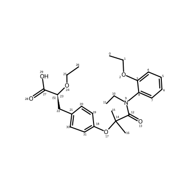 CCOc1ccccc1N(CC)C(=O)C(C)(C)Oc1ccc(C[C@H](OCC)C(=O)O)cc1